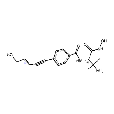 CC(C)(N)[C@H](NC(=O)c1ccc(C#C/C=C/CO)cc1)C(=O)NO